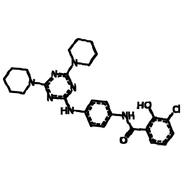 O=C(Nc1ccc(Nc2nc(N3CCCCC3)nc(N3CCCCC3)n2)cc1)c1cccc(Cl)c1O